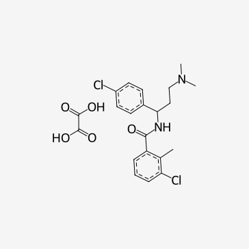 Cc1c(Cl)cccc1C(=O)NC(CCN(C)C)c1ccc(Cl)cc1.O=C(O)C(=O)O